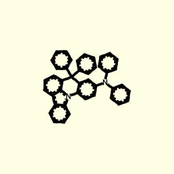 c1ccc(N(c2ccccc2)c2ccc3c(c2)C(c2ccccc2)(c2ccccc2)c2cccc4c5ccccc5n-3c24)cc1